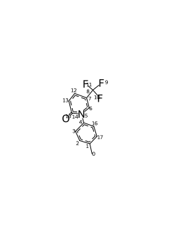 Cc1ccc(-n2cc(C(F)(F)F)ccc2=O)cc1